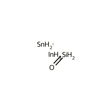 O=[SiH2].[InH3].[SnH2]